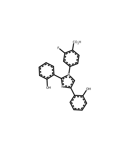 O=C(O)c1ccc(-n2cc(-c3ccccc3O)nc2-c2ccccc2O)cc1F